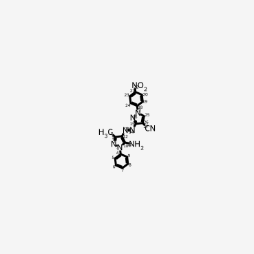 Cc1nn(-c2ccccc2)c(N)c1N=Nc1nn(-c2ccc([N+](=O)[O-])cc2)cc1C#N